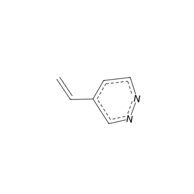 C=Cc1ccnnc1